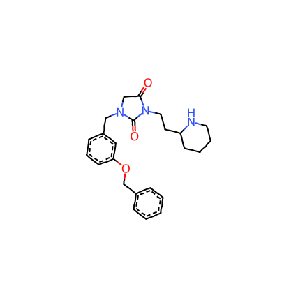 O=C1CN(Cc2cccc(OCc3ccccc3)c2)C(=O)N1CCC1CCCCN1